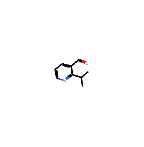 CC(C)c1ncccc1C=O